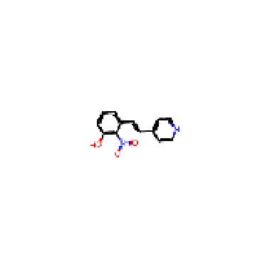 O=[N+]([O-])c1c(O)cccc1C=Cc1ccncc1